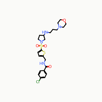 O=C(NCc1ccc(S(=O)(=O)N2CCC(NCCCN3CCOCC3)C2)s1)c1ccc(Cl)cc1